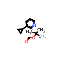 CC(C)(C)OC=O.c1cncc(C2CC2)c1